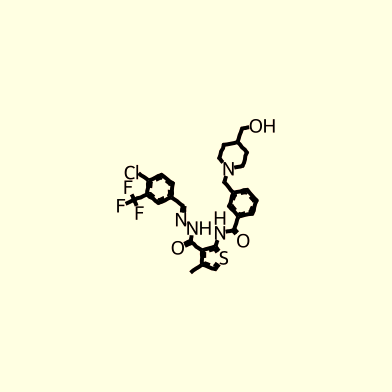 Cc1csc(NC(=O)c2cccc(CN3CCC(CO)CC3)c2)c1C(=O)NN=Cc1ccc(Cl)c(C(F)(F)F)c1